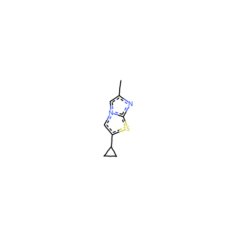 Cc1cn2cc(C3CC3)sc2n1